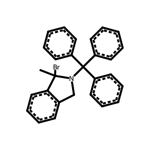 CC1(Br)c2ccccc2CN1C(c1ccccc1)(c1ccccc1)c1ccccc1